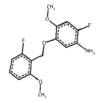 COc1cc(F)c(N)cc1OCc1c(F)cccc1OC